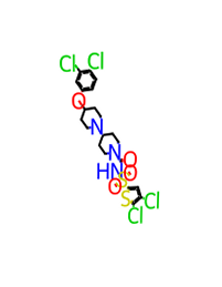 O=C(NS(=O)(=O)c1cc(Cl)c(Cl)s1)N1CCC(N2CCC(Oc3ccc(Cl)c(Cl)c3)CC2)CC1